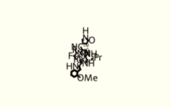 COc1cccc2[nH]c(C(=O)N[C@@H](CC(C)C)C(=O)N[C@@H](C[C@@H]3CCNC3=O)C(C#N)NC(F)C(F)F)cc12